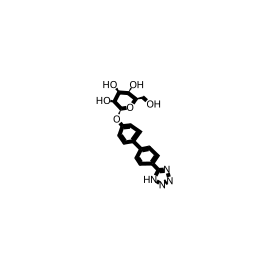 OC[C@H]1O[C@H](Oc2ccc(-c3ccc(-c4nnn[nH]4)cc3)cc2)[C@@H](O)[C@@H](O)[C@@H]1O